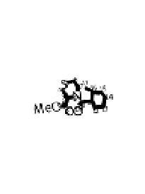 COC(=O)C1CSCCN1C(=O)c1ccccc1C